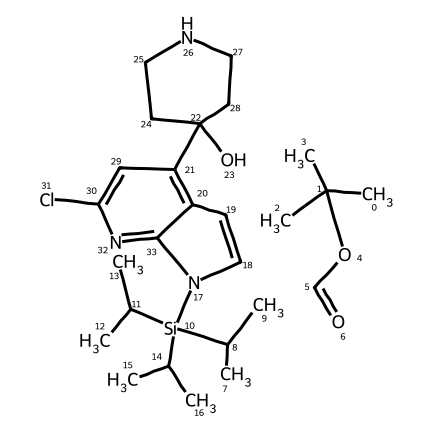 CC(C)(C)OC=O.CC(C)[Si](C(C)C)(C(C)C)n1ccc2c(C3(O)CCNCC3)cc(Cl)nc21